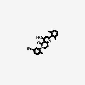 Cc1ccc(C(C)C)cc1N1CCc2nc(-c3c(C)cccc3C)cc(O)c2C1=O